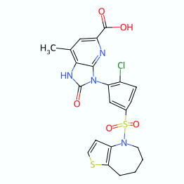 Cc1cc(C(=O)O)nc2c1[nH]c(=O)n2-c1cc(S(=O)(=O)N2CCCCc3sccc32)ccc1Cl